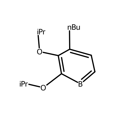 CCCCc1ccbc(OC(C)C)c1OC(C)C